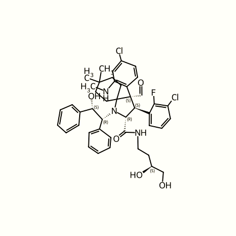 CNc1cc(Cl)ccc1[C@@]1(C=O)[C@@H](c2cccc(Cl)c2F)[C@H](C(=O)NCC[C@H](O)CO)N([C@H](c2ccccc2)[C@@H](O)c2ccccc2)C12CCC(C)(C)CC2